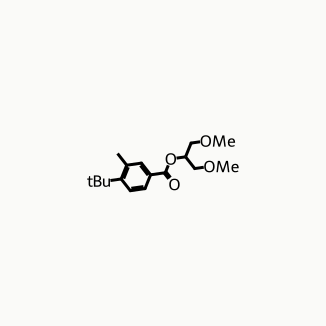 COCC(COC)OC(=O)c1ccc(C(C)(C)C)c(C)c1